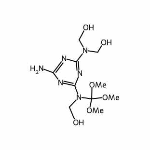 COC(OC)(OC)N(CO)c1nc(N)nc(N(CO)CO)n1